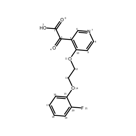 O=C(O)C(=O)c1cnccc1OCCOc1ccccc1F